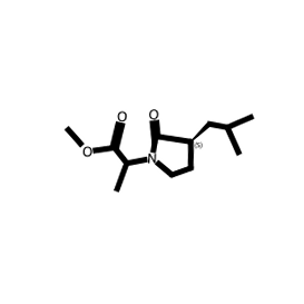 COC(=O)C(C)N1CC[C@H](CC(C)C)C1=O